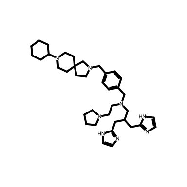 c1c[nH]c(CC(Cc2ncc[nH]2)CN(CCN2CCCC2)Cc2ccc(CN3CCC4(CCN(C5CCCCC5)CC4)C3)cc2)n1